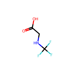 O=C(O)CNC(F)(F)F